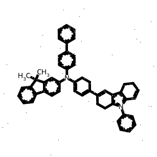 CC1(C)c2ccccc2-c2ccc(N(C3=CC=C(C4=Cc5c6c(n(-c7ccccc7)c5CC4)C=CCC6)CC3)c3ccc(-c4ccccc4)cc3)cc21